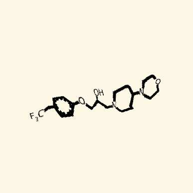 O[C@H](COc1ccc(C(F)(F)F)cc1)CN1CCC(N2CCOCC2)CC1